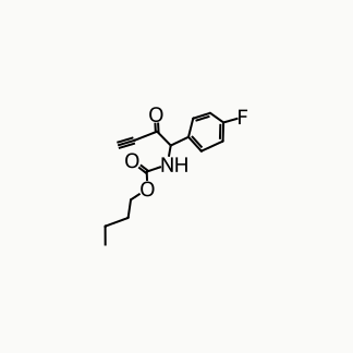 C#CC(=O)C(NC(=O)OCCCC)c1ccc(F)cc1